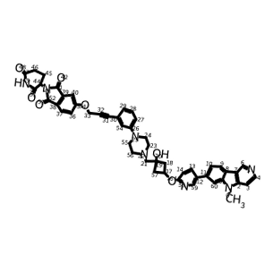 Cn1c2ccncc2c2ccc(-c3ccc(OC4CC(O)(CN5CCN(c6cccc(C#CCOc7ccc8c(c7)C(=O)N(C7CCC(=O)NC7=O)C8=O)c6)CC5)C4)nc3)cc21